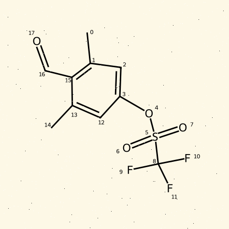 Cc1cc(OS(=O)(=O)C(F)(F)F)cc(C)c1C=O